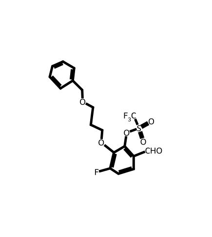 O=Cc1ccc(F)c(OCCCOCc2ccccc2)c1OS(=O)(=O)C(F)(F)F